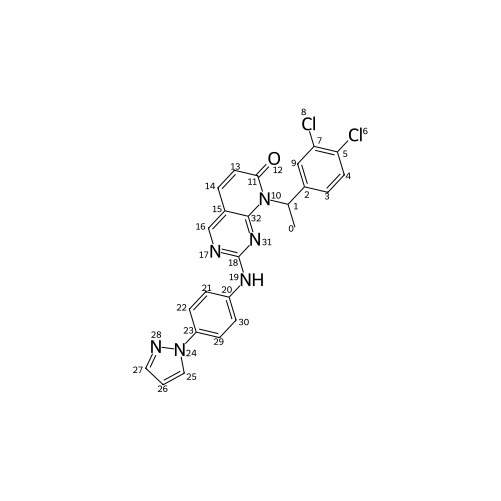 CC(c1ccc(Cl)c(Cl)c1)n1c(=O)ccc2cnc(Nc3ccc(-n4cccn4)cc3)nc21